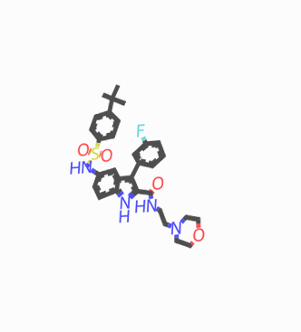 CC(C)(C)c1ccc(S(=O)(=O)Nc2ccc3[nH]c(C(=O)NCCN4CCOCC4)c(-c4cccc(F)c4)c3c2)cc1